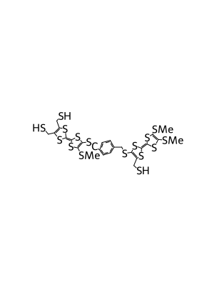 CSC1=C(SC)SC(=C2SC(CS)=C(SCc3ccc(CSC4=C(SC)SC(=C5SC(CS)=C(CS)S5)S4)cc3)S2)S1